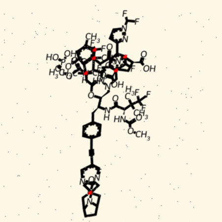 COC(=O)N[C@H](C(=O)N[C@@H](Cc1ccc(C#Cc2cnc(N3CC4CCC(C3)N4C3COC3)nc2)cc1)[C@H](CN(Cc1c(F)cc(-c2ccn(C(F)F)n2)cc1F)NC(=O)[C@@H](NC(=O)OC)C(C)(C)C(F)(F)F)OC(=O)CC(C)(C)c1c(CC(=O)N2C[C@@H](C(=O)O)C[C@H]2C(=O)O)cc(C)cc1OP(=O)(O)O)C(C)(C)C(F)(F)F